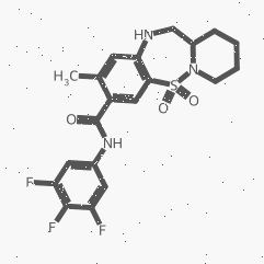 Cc1cc2c(cc1C(=O)Nc1cc(F)c(F)c(F)c1)S(=O)(=O)N1CCCCC1CN2